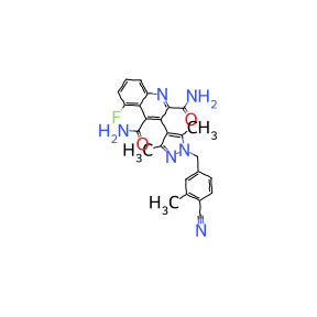 Cc1cc(Cn2nc(C)c(-c3c(C(N)=O)nc4cccc(F)c4c3C(N)=O)c2C)ccc1C#N